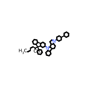 C=C(/C=C\C=C/C)C1(c2ccccc2)c2ccccc2-c2ccc(-n3c4ccccc4c4ccc5c(ccn5-c5ccc(-c6ccccc6)cc5)c43)cc21